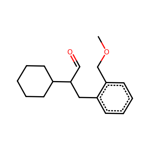 COCc1ccccc1CC(C=O)C1CCCCC1